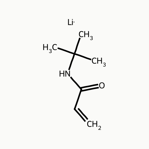 C=CC(=O)NC(C)(C)C.[Li]